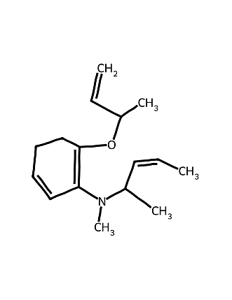 C=CC(C)OC1=C(N(C)C(C)/C=C\C)C=CCC1